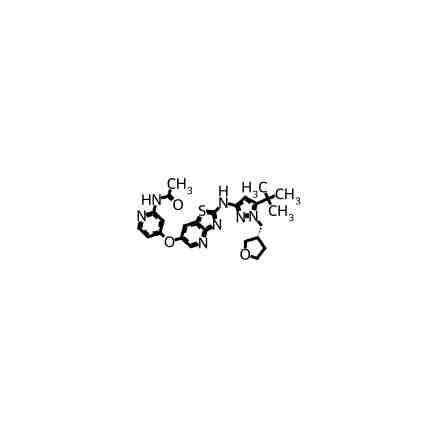 CC(=O)Nc1cc(Oc2cnc3nc(Nc4cc(C(C)(C)C)n(C[C@@H]5CCOC5)n4)sc3c2)ccn1